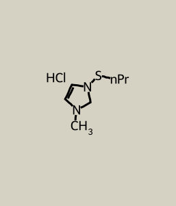 CCCSN1C=CN(C)C1.Cl